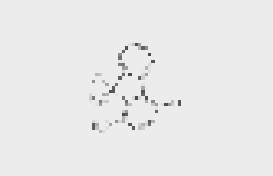 Cc1ccc(C)c2c1-c1ccccc1C2(C)C